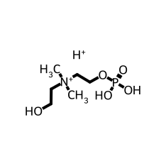 C[N+](C)(CCO)CCOP(=O)(O)O.[H+]